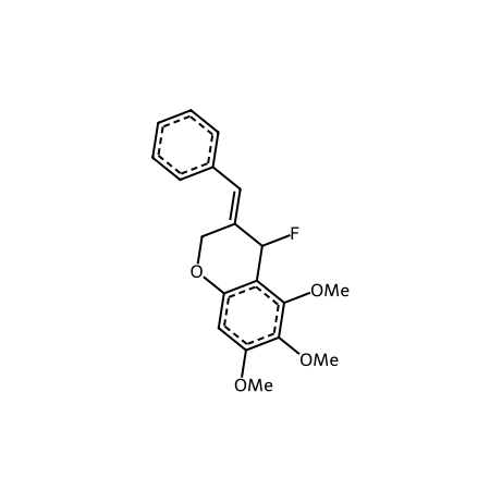 COc1cc2c(c(OC)c1OC)C(F)C(=Cc1ccccc1)CO2